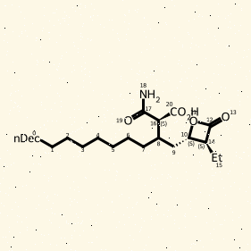 CCCCCCCCCCCCCCCCCC(C[C@@H]1OC(=O)[C@H]1CC)[C@@H](C(N)=O)C(=O)O